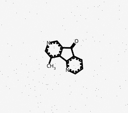 Cc1cncc2c1-c1ncccc1C2=O